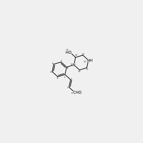 O=CC=Cc1ccccc1N1CCNCC1O